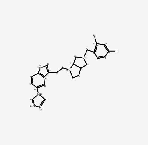 Fc1ccc(CN2CC3CCN(CCc4c[nH]c5ccc(-n6cnnc6)cc45)C3C2)c(F)c1